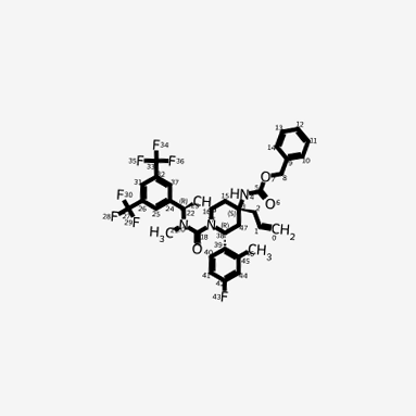 C=CC[C@]1(NC(=O)OCc2ccccc2)CCN(C(=O)N(C)[C@H](C)c2cc(C(F)(F)F)cc(C(F)(F)F)c2)[C@@H](c2ccc(F)cc2C)C1